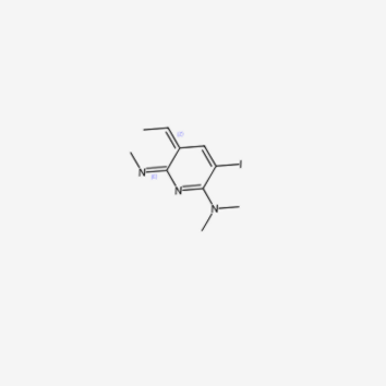 C/C=C1/C=C(I)C(N(C)C)=N/C1=N/C